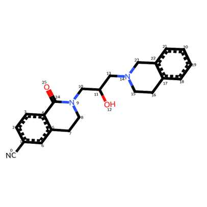 N#Cc1ccc2c(c1)CCN(CC(O)CN1CCc3ccccc3C1)C2=O